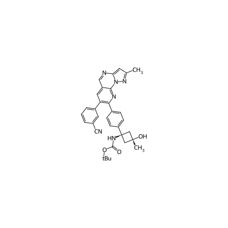 Cc1cc2ncc3cc(-c4cccc(C#N)c4)c(-c4ccc([C@]5(NC(=O)OC(C)(C)C)C[C@](C)(O)C5)cc4)nc3n2n1